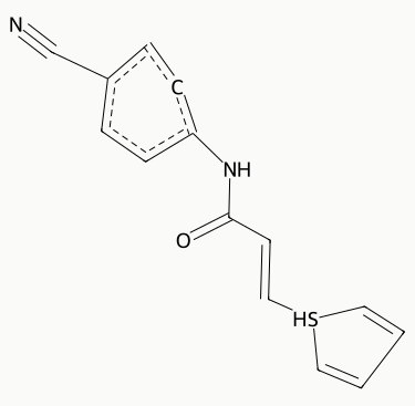 N#Cc1ccc(NC(=O)C=C[SH]2C=CC=C2)cc1